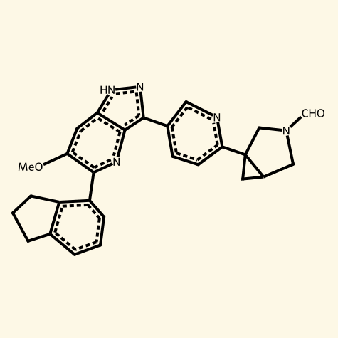 COc1cc2[nH]nc(-c3ccc(C45CC4CN(C=O)C5)nc3)c2nc1-c1cccc2c1CCC2